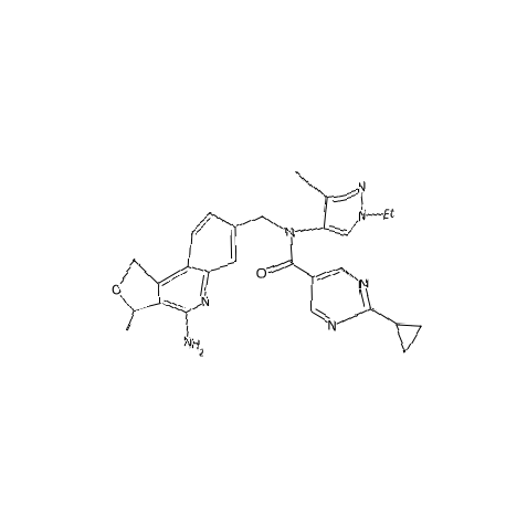 CCn1cc(N(Cc2ccc3c4c(c(N)nc3c2)C(C)OC4)C(=O)c2cnc(C3CC3)nc2)c(C)n1